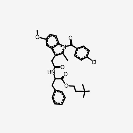 COc1ccc2c(c1)c(CC(=O)NC(Cc1ccccc1)C(=O)OCCC(C)(C)C)c(C)n2C(=O)c1ccc(Cl)cc1